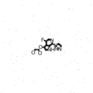 O=CC(=O)Oc1c[nH]c2c(-n3ccnn3)ncc(F)c12